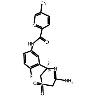 C[C@@]1(c2cc(NC(=O)c3ccc(C#N)cn3)ccc2F)CS(=O)(=O)CC(N)=N1